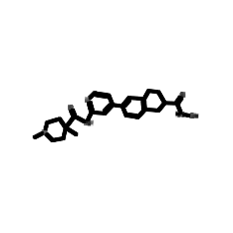 CN1CCC(C)(C(=O)Nc2cc(-c3ccc4c(c3)CCC(C(=O)NO)C4)ccn2)CC1